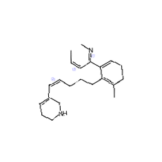 C/C=C\C(=N/C)C1=CCCC(C)=C1CCC/C=C\C1=CCCNC1